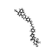 N#Cc1ccc(N2CCC(c3ccc(OCCCCN4CCN(c5ccc6c(c5)CN(C5CCC(=O)NC5=O)C6=O)CC4)cc3)CC2)c2ncccc12